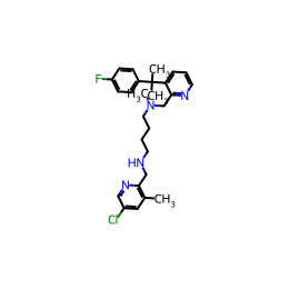 Cc1cc(Cl)cnc1CNCCCCN(C)Cc1ncccc1C(C)(C)c1ccc(F)cc1